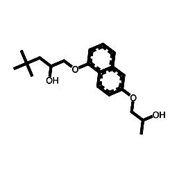 CC(O)COc1ccc2c(OCC(O)CC(C)(C)C)cccc2c1